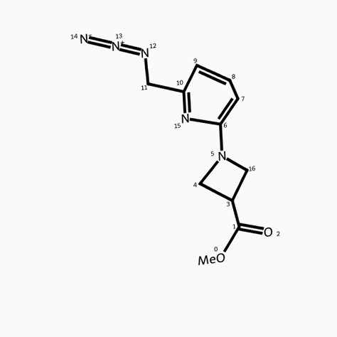 COC(=O)C1CN(c2cccc(CN=[N+]=[N-])n2)C1